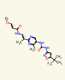 CCO/C=C/C(=O)N/C=C(\C)c1ncc(NC(=O)Nc2cc(C(C)(C)C(F)(F)F)on2)c(C)n1